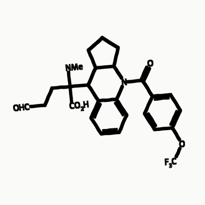 CNC(CCC=O)(C(=O)O)C1c2ccccc2N(C(=O)c2ccc(OC(F)(F)F)cc2)C2CCCC21